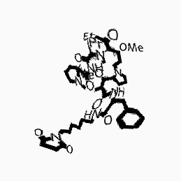 CCC(=O)[C@H]([C@@H](CCN1CCCC1[C@H](OC)C(C)C(=O)NC(Cc1ccccc1)C(=O)NCCCCCCN1C(=O)C=CC1=O)OC)N(C)[C@@H](C(=O)NC(=O)[C@]1(C)CCCN1C)C(C)C